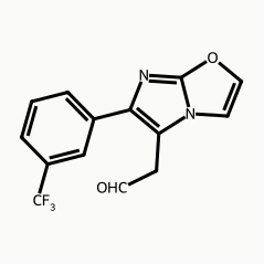 O=CCc1c(-c2cccc(C(F)(F)F)c2)nc2occn12